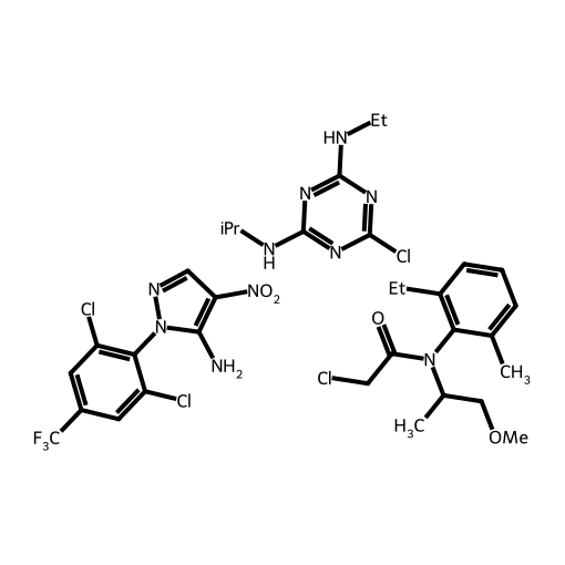 CCNc1nc(Cl)nc(NC(C)C)n1.CCc1cccc(C)c1N(C(=O)CCl)C(C)COC.Nc1c([N+](=O)[O-])cnn1-c1c(Cl)cc(C(F)(F)F)cc1Cl